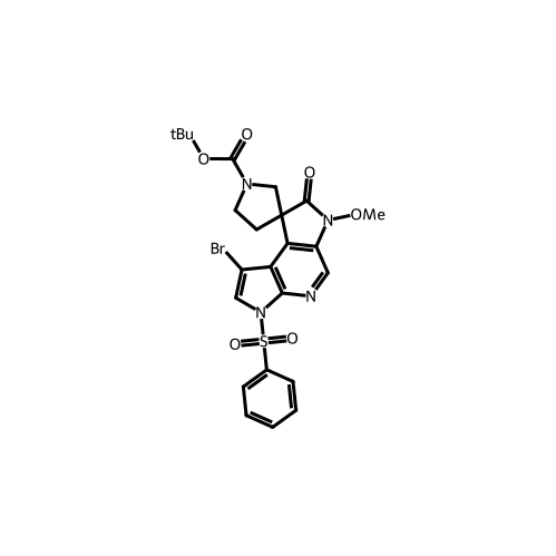 CON1C(=O)C2(CCN(C(=O)OC(C)(C)C)C2)c2c1cnc1c2c(Br)cn1S(=O)(=O)c1ccccc1